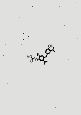 C=C(C)c1cc(OCC(=O)O)c(F)cc1Cc1ccc(O)c(C(C)C)c1